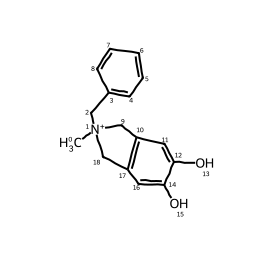 C[N+]1(Cc2ccccc2)Cc2cc(O)c(O)cc2C1